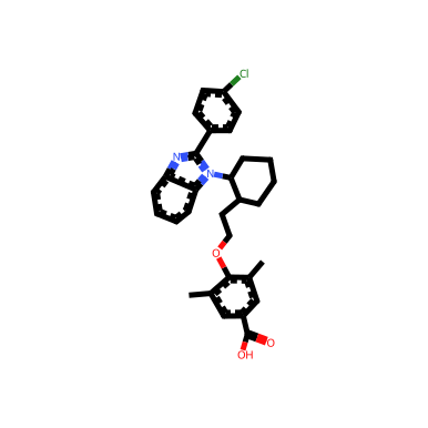 Cc1cc(C(=O)O)cc(C)c1OCCC1CCCCC1n1c(-c2ccc(Cl)cc2)nc2ccccc21